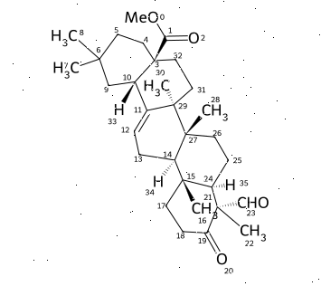 COC(=O)[C@]12CCC(C)(C)C[C@H]1C1=CC[C@@H]3[C@@]4(C)CCC(=O)[C@@](C)(C=O)[C@@H]4CC[C@@]3(C)[C@]1(C)CC2